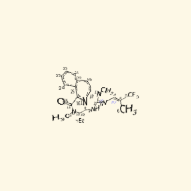 C=N/C(=N\C=C(/C)C(F)(F)F)NC[C@H](CC)N(C)C(=O)c1nccc2ccccc12